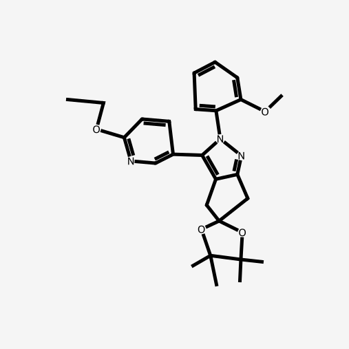 CCOc1ccc(-c2c3c(nn2-c2ccccc2OC)CC2(C3)OC(C)(C)C(C)(C)O2)cn1